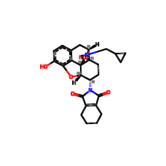 O=C1C2=C(CCCC2)C(=O)N1[C@H]1CC[C@@]2(O)[C@H]3Cc4ccc(O)c5c4[C@@]2(CCN3CC2CC2)[C@H]1O5